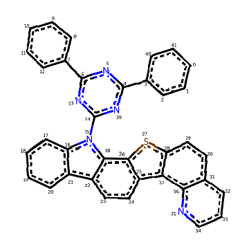 c1ccc(-c2nc(-c3ccccc3)nc(-n3c4ccccc4c4ccc5c(sc6ccc7cccnc7c65)c43)n2)cc1